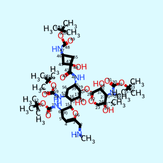 CNCC1=CC[C@@H](NC(=O)OC(C)(C)C)C([C@H]2[C@H](O)[C@@H](O[C@H]3OC[C@](C)(O)[C@H](N(C)C(=O)OC(C)(C)C)[C@H]3O)[C@H](NC(=O)C3(O)CC(NC(=O)OC(C)(C)C)C3)C[C@@H]2NC(=O)OC(C)(C)C)O1